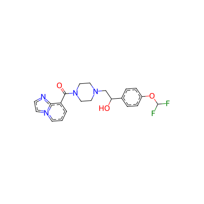 O=C(c1cccn2ccnc12)N1CCN(CC(O)c2ccc(OC(F)F)cc2)CC1